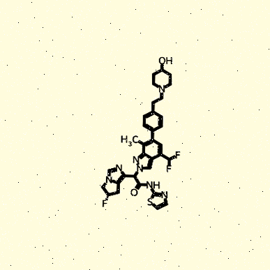 Cc1c(-c2ccc(CCN3CCC(O)CC3)cc2)cc(C(F)F)c2cn(C(C(=O)Nc3nccs3)c3ncn4c3C[C@@H](F)C4)nc12